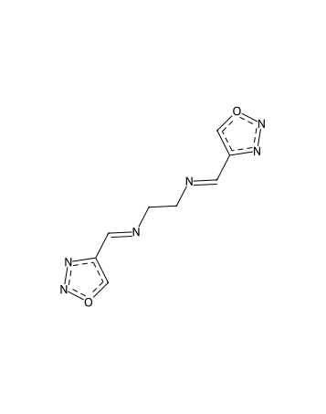 C(=NCCN=Cc1conn1)c1conn1